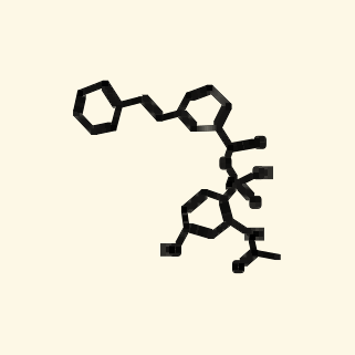 CC(=O)Nc1cc(O)ccc1[As](=O)(O)OC(=O)c1cccc(C=Cc2ccccc2)c1